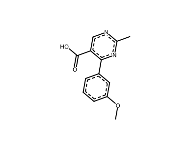 COc1cccc(-c2nc(C)ncc2C(=O)O)c1